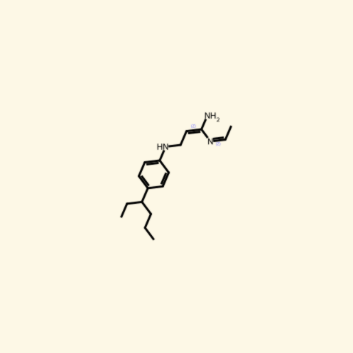 C/C=N\C(N)=C/CNc1ccc(C(CC)CCC)cc1